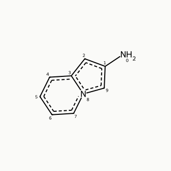 Nc1cc2ccccn2c1